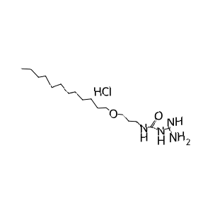 CCCCCCCCCCCCOCCCNC(=O)NC(=N)N.Cl